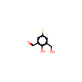 O=Cc1cc(F)cc(CO)c1O